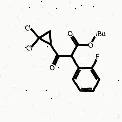 CC(C)(C)OC(=O)C(C(=O)C1CC1(Cl)Cl)c1ccccc1F